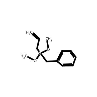 C=CC[Si](Cc1ccccc1)(OC)OC